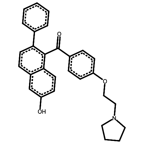 O=C(c1ccc(OCCN2CCCC2)cc1)c1c(-c2ccccc2)ccc2cc(O)ccc12